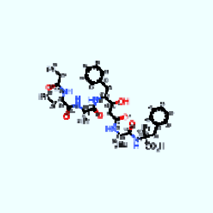 CC[C@H](C)[C@H](NC(=O)C[C@H](O)[C@H](Cc1ccccc1)NC(=O)[C@@H](NC(=O)[C@H](CC(C)C)NC(=O)CC(C)C)C(C)C)C(=O)N[C@](Cc1ccccc1)(C(=O)O)C(C)C